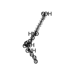 O=CCOCCOCCNC(=O)CC[C@H](NC(=O)COCCOCCNC(=O)CCCCCCCCCCCCCCC(=O)O)C(=O)O